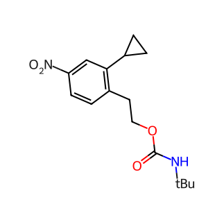 CC(C)(C)NC(=O)OCCc1ccc([N+](=O)[O-])cc1C1CC1